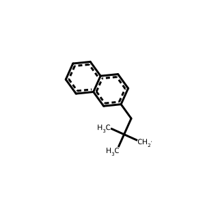 [CH2]C(C)(C)Cc1ccc2ccccc2c1